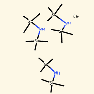 C[Si](C)(C)N[Si](C)(C)C.C[Si](C)(C)N[Si](C)(C)C.C[Si](C)(C)N[Si](C)(C)C.[La]